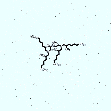 CCCCCCCCCCCCCCC(O)CN(CCN(CCC)CCN(CC(O)CCCCCCCCCCCCCC)CC(O)CCCCCCCCCCCCCC)CC(O)CCCCCCCCCCCCCC